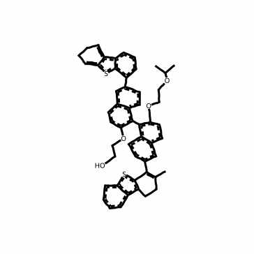 CC1=C(c2ccc3c(-c4c(OCCO)ccc5cc(-c6cccc7c8c(sc67)=CCCC=8)ccc45)c(OCCOC(C)C)ccc3c2)c2sc3ccccc3c2CC1